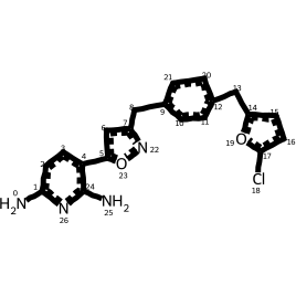 Nc1ccc(-c2cc(Cc3ccc(Cc4ccc(Cl)o4)cc3)no2)c(N)n1